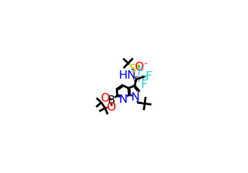 CC(C)(C)Cn1cc([C@H](N[S+]([O-])C(C)(C)C)C(F)(F)F)c2ccc(B3OC(C)(C)C(C)(C)O3)nc21